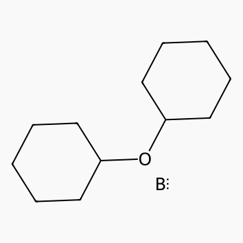 C1CCC(OC2CCCCC2)CC1.[B]